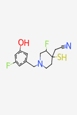 N#CCC1(S)CCN(Cc2cc(O)cc(F)c2)CC1F